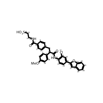 COc1ccc(C(Cc2ccc(C(=O)NCCS(=O)(=O)O)cc2)C(=O)Nc2ccc(-c3cc4ccccc4o3)cc2Cl)cc1